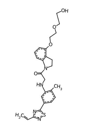 C=Cc1nsc(-c2ccc(C)c(NCC(=O)N3CCc4c(OCCOCCO)cccc43)c2)n1